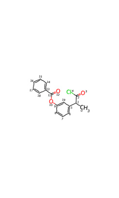 CC(C(=O)Cl)c1cccc(OC(=O)c2ccccc2)c1